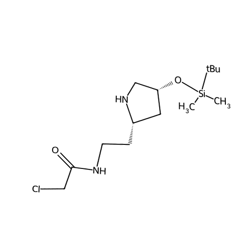 CC(C)(C)[Si](C)(C)O[C@H]1CN[C@@H](CCNC(=O)CCl)C1